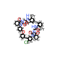 CC(C)c1cccc(C(C)C)c1NC(=O)CN1C(=O)N(c2cccc(Oc3ccccc3)c2)C2(CCCCC2)C1=O.Cc1cc(N2C(=O)N(CC(=O)Nc3c(C(C)C)cccc3C(C)C)C(=O)C23CCCCC3)ccc1Cl